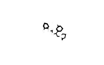 Nc1ccccc1NC(=S)NC(CN1CCCC1=O)c1cccc(C(F)(F)F)c1